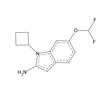 Nc1cc2ccc(OC(F)F)cc2n1C1CCC1